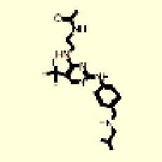 CC(=O)NCCNc1nc(Nc2ccc(CNCC(C)C)cc2)ncc1C(F)(F)F